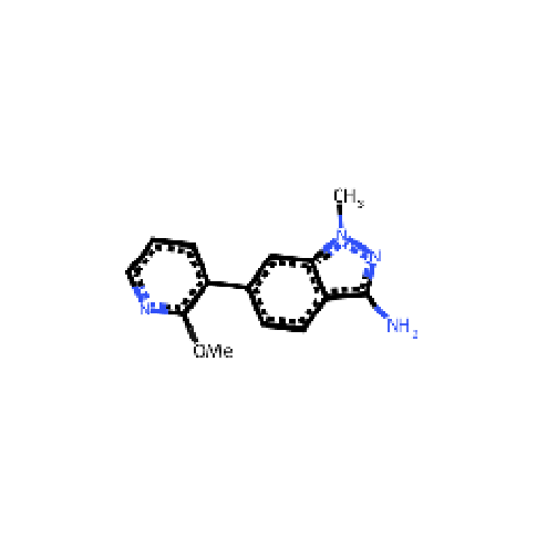 COc1ncccc1-c1ccc2c(N)nn(C)c2c1